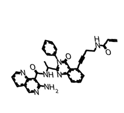 C=CC(=O)NCCC#Cc1cccc2nc(C(C)NC(=O)c3c(N)ncc4cccnc34)n(-c3ccccc3)c(=O)c12